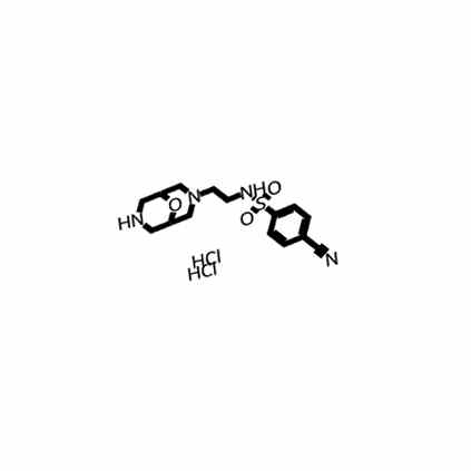 Cl.Cl.N#Cc1ccc(S(=O)(=O)NCCN2CC3CNCC(C2)O3)cc1